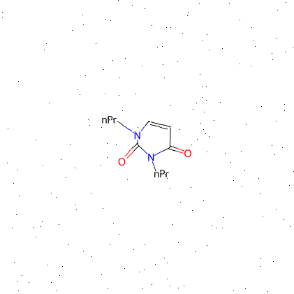 CCCn1ccc(=O)n(CCC)c1=O